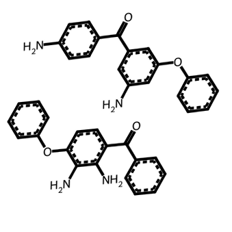 Nc1c(Oc2ccccc2)ccc(C(=O)c2ccccc2)c1N.Nc1ccc(C(=O)c2cc(N)cc(Oc3ccccc3)c2)cc1